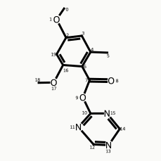 COc1cc(C)c(C(=O)Oc2ncncn2)c(OC)c1